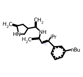 C=C(/C=C(/c1cccc(CCCC)c1)C(C)C)NC(=C)C1CNC(=C)C1